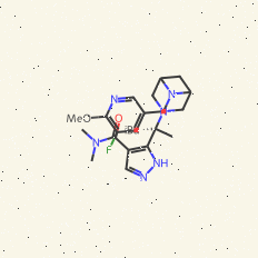 CC[C@@H](C)C(C)(c1[nH]ncc1C(=O)N(C)C)N1CC2CC(C1)N2Cc1cnc(OC)c(F)c1